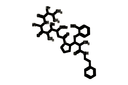 CCC(C)C(C(CC(=O)N1CCCC1C(Sc1ccccc1O)C(C)C(=O)NCCc1ccccc1)OC)N(C)C(=O)C(NC(=O)C(C(C)C)N(C)C)C(C)C